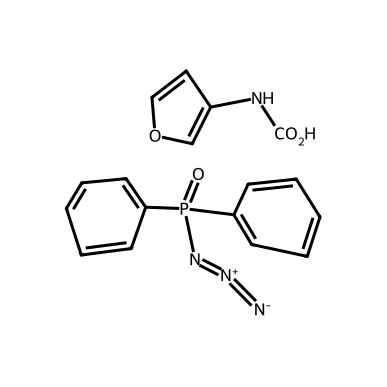 O=C(O)Nc1ccoc1.[N-]=[N+]=NP(=O)(c1ccccc1)c1ccccc1